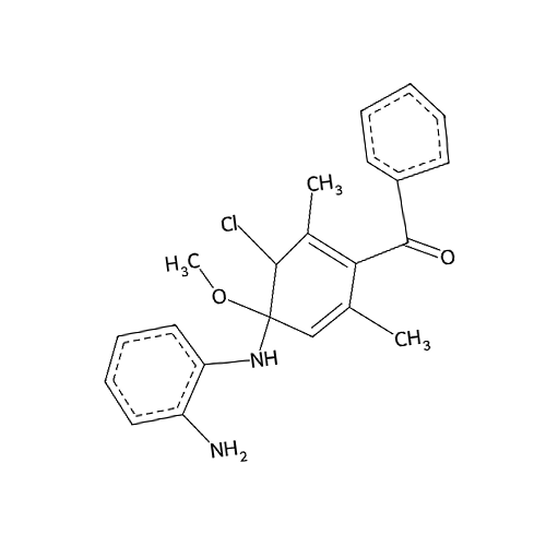 COC1(Nc2ccccc2N)C=C(C)C(C(=O)c2ccccc2)=C(C)C1Cl